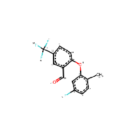 Cc1ccc(F)cc1Oc1ccc(C(F)(F)F)cc1C=O